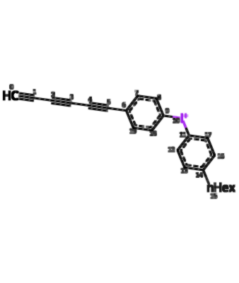 C#CC#CC#Cc1ccc([I+]c2ccc(CCCCCC)cc2)cc1